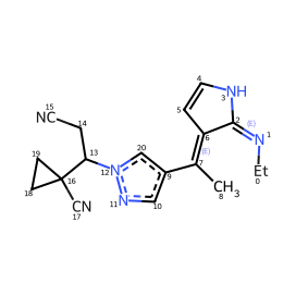 CC/N=C1/NC=C/C1=C(/C)c1cnn(C(CC#N)C2(C#N)CC2)c1